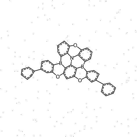 c1ccc(-c2ccc3c(c2)Oc2cc4c5c6c2B3c2cccc3c2N6c2c(cccc2B5c2ccc(-c5ccccc5)cc2O4)O3)cc1